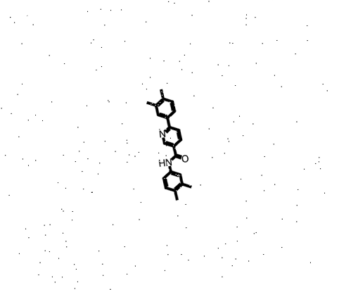 Cc1ccc(NC(=O)c2ccc(-c3ccc(C)c(C)c3)nc2)cc1C